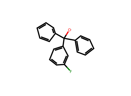 [O]C(c1ccccc1)(c1ccccc1)c1cccc(F)c1